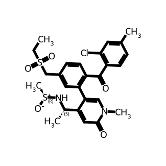 CCS(=O)(=O)Cc1ccc(C(=O)c2ccc(C)cc2Cl)c(-c2cn(C)c(=O)cc2[C@H](C)N[S@+](C)[O-])c1